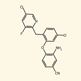 N#Cc1ccc(Oc2cc(Cl)ccc2Cc2ncc(Cl)cc2F)c(N)c1